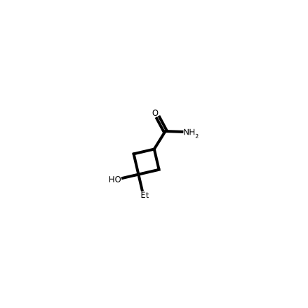 CCC1(O)CC(C(N)=O)C1